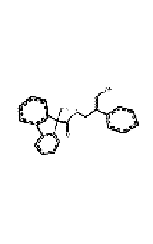 CC1(C(=O)OCC(=CO)c2ccccc2)c2ccccc2-c2ccccc21